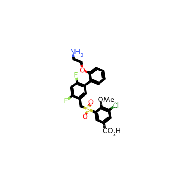 COc1c(Cl)cc(C(=O)O)cc1S(=O)(=O)Cc1cc(-c2ccccc2OCCN)c(F)cc1F